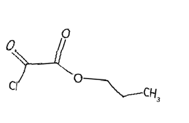 CCCOC(=O)C(=O)Cl